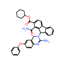 NC(=O)c1c(C(=O)OC2CCCCC2)ccc2c1C(N1Cc3cc(Oc4ccccc4)ccc3N=C1N)c1ccccc1-2